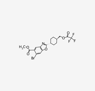 COC(=O)c1cc2nc([C@H]3CC[C@H](COC(=O)C(F)(F)F)CC3)oc2cc1Br